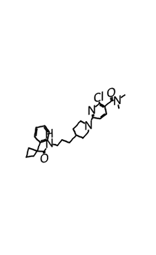 CN(C)C(=O)c1ccc(N2CCC(CCCNC(=O)C3(c4ccccc4)CCC3)CC2)nc1Cl